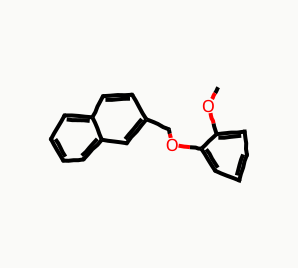 COc1ccccc1OCc1ccc2ccccc2c1